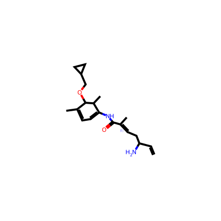 C=CC(N)C/C=C(\C)C(=O)NC1=CC=C(C)C(OCC2CC2)C1C